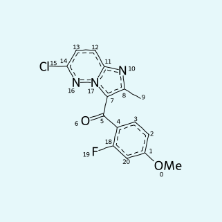 COc1ccc(C(=O)c2c(C)nc3ccc(Cl)nn23)c(F)c1